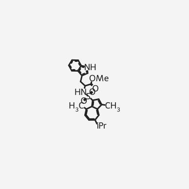 COC(=O)C(Cc1c[nH]c2ccccc12)NS(=O)(=O)C1=C2C(C)=C=C=C(C(C)C)C=C2C(C)=C1